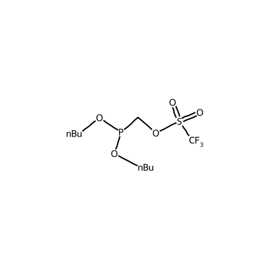 CCCCOP(COS(=O)(=O)C(F)(F)F)OCCCC